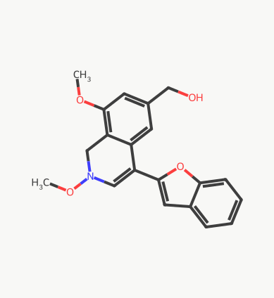 COc1cc(CO)cc2c1CN(OC)C=C2c1cc2ccccc2o1